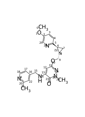 COc1ccc([C@H]2C[C@@H]2COc2cc(NCc3ccnc(C)c3)c(=O)n(C)n2)nc1